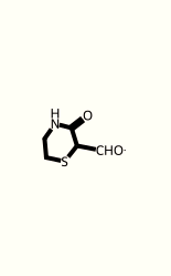 O=[C]C1SCCNC1=O